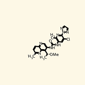 CO[C@H](C)c1c(NC(=O)Nc2cc(Cl)c(-n3nccn3)nc2C)cnc2ccc(C)nc12